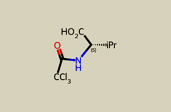 CC(C)[C@H](NC(=O)C(Cl)(Cl)Cl)C(=O)O